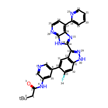 CC(C)(C)CC(=O)Nc1cncc(-c2cc3c(-c4nc5c(-c6ccccn6)ccnc5[nH]4)n[nH]c3cc2F)c1